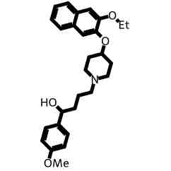 CCOc1cc2ccccc2cc1OC1CCN(CCCC(O)c2ccc(OC)cc2)CC1